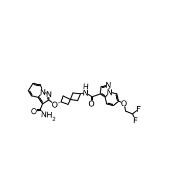 NC(=O)c1c(O[C@H]2CC3(C[C@H](NC(=O)c4cnn5cc(OCC(F)F)ccc45)C3)C2)nn2ccccc12